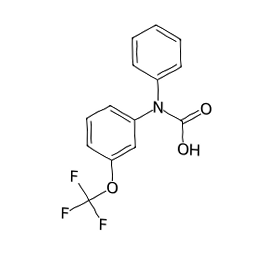 O=C(O)N(c1ccccc1)c1cccc(OC(F)(F)F)c1